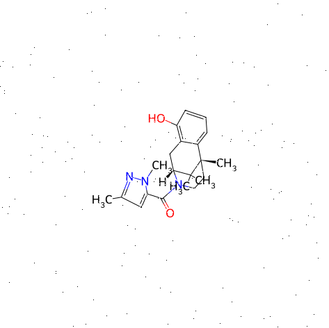 Cc1cc(C(=O)N2CC[C@@]3(C)c4cccc(O)c4C[C@@H]2C3(C)C)n(C)n1